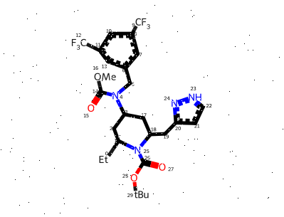 CCC1CC(N(Cc2cc(C(F)(F)F)cc(C(F)(F)F)c2)C(=O)OC)CC(Cc2cc[nH]n2)N1C(=O)OC(C)(C)C